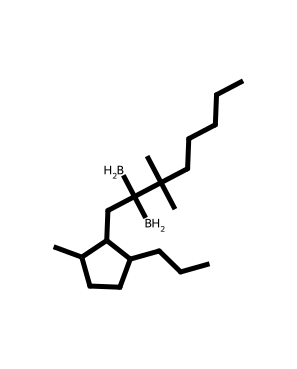 BC(B)(CC1C(C)CCC1CCC)C(C)(C)CCCCC